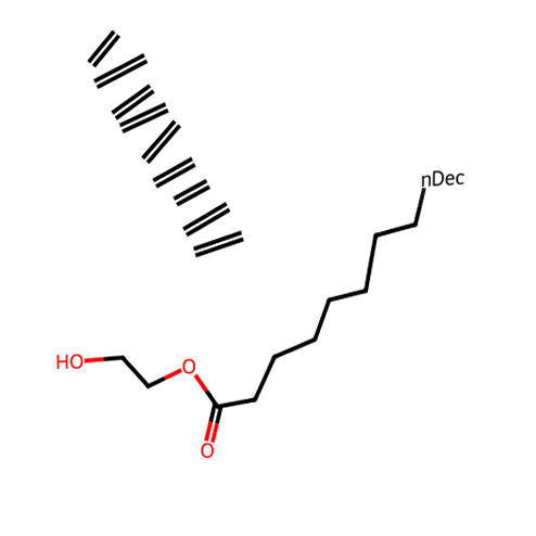 C=C.C=C.C=C.C=C.C=C.C=C.C=C.C=C.C=C.CCCCCCCCCCCCCCCCCC(=O)OCCO